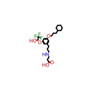 O=C(O)C(F)(F)F.O=C(O)CCNCCCc1cccc(OCCCC2CCCCC2)c1